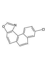 Clc1ccc2c(ccc3ccc4ocnc4c32)c1